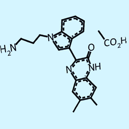 CC(=O)O.Cc1cc2nc(-c3cn(CCCN)c4ccccc34)c(=O)[nH]c2cc1C